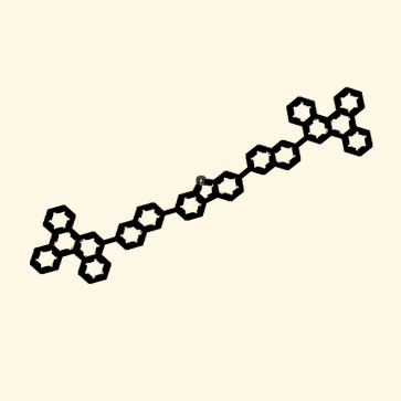 c1ccc2c(c1)c(-c1ccc3cc(-c4ccc5c(c4)oc4cc(-c6ccc7cc(-c8cc9c%10ccccc%10c%10ccccc%10c9c9ccccc89)ccc7c6)ccc45)ccc3c1)cc1c3ccccc3c3ccccc3c21